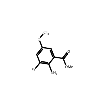 CCc1cc(OC(F)(F)F)cc(C(=O)OC)c1N